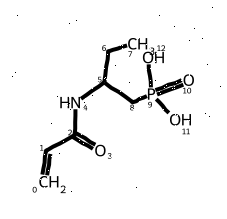 C=CC(=O)NC(CC)CP(=O)(O)O